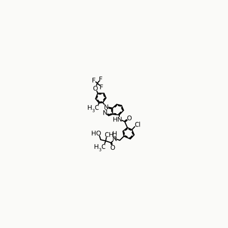 Cc1cc(OC(F)(F)F)ccc1-n1ncc2c(NC(=O)c3cc(CNC(=O)C(C)(C)CO)ccc3Cl)cccc21